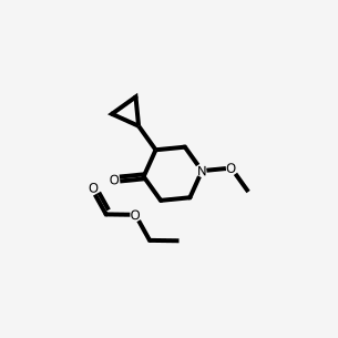 CCOC=O.CON1CCC(=O)C(C2CC2)C1